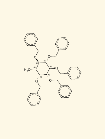 C[C@@H]1[C@@H](OCc2ccccc2)[C@H](OCc2ccccc2)[C@@H](OCc2ccccc2)[C@H](OCc2ccccc2)[C@@H]1OCc1ccccc1